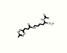 Cc1nnc(CCC(=O)NCCCCC(NC(=O)F)C(=O)O)nn1